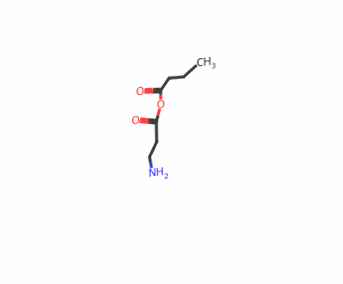 CCCC(=O)OC(=O)CCN